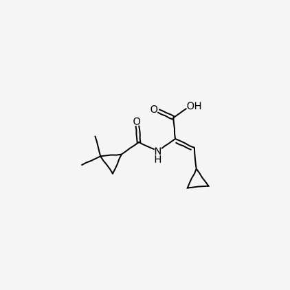 CC1(C)CC1C(=O)N/C(=C\C1CC1)C(=O)O